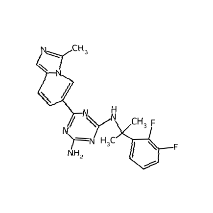 Cc1ncc2ccc(-c3nc(N)nc(NC(C)(C)c4cccc(F)c4F)n3)cn12